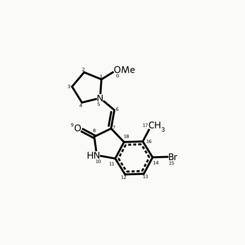 COC1CCCN1C=C1C(=O)Nc2ccc(Br)c(C)c21